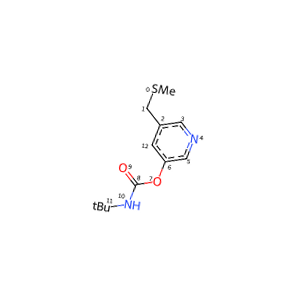 CSCc1cncc(OC(=O)NC(C)(C)C)c1